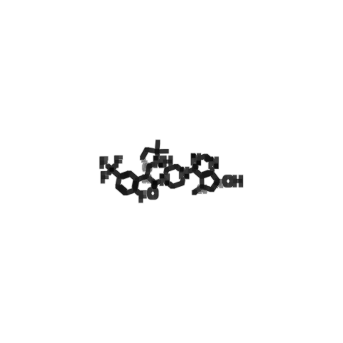 C[C@@H]1C[C@@H](O)c2ncnc(N3CCN(C(=O)[C@@H](c4cc(C(F)(F)F)ccc4F)[C@@H]4CCC(C)(C)N4)CC3)c21